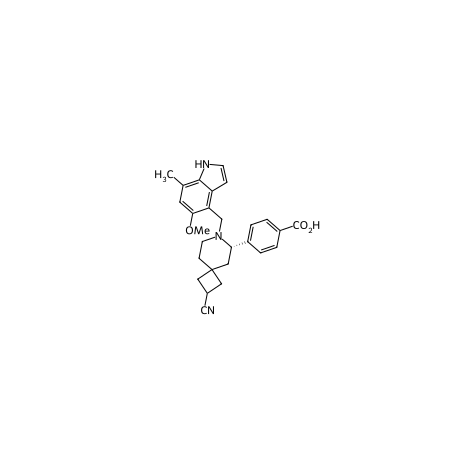 COc1cc(C)c2[nH]ccc2c1CN1CCC2(CC(C#N)C2)C[C@H]1c1ccc(C(=O)O)cc1